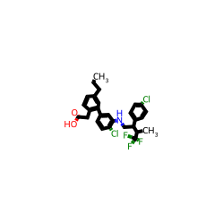 CCCc1ccc(CC(=O)O)c(-c2ccc(Cl)c(NCC(c3ccc(Cl)cc3)C(C)C(F)(F)F)c2)c1